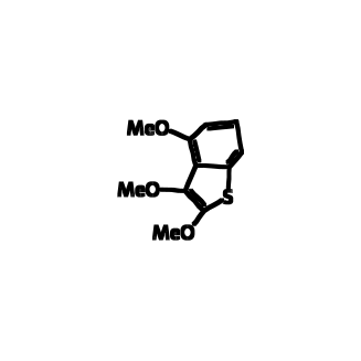 COc1sc2cccc(OC)c2c1OC